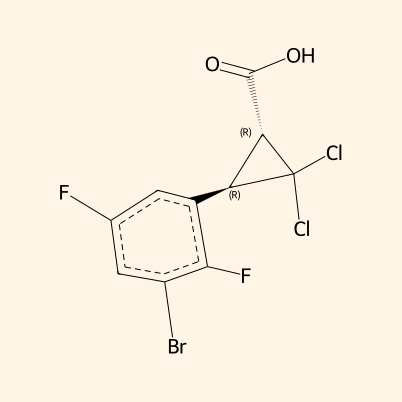 O=C(O)[C@H]1[C@H](c2cc(F)cc(Br)c2F)C1(Cl)Cl